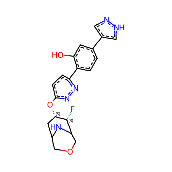 Oc1cc(-c2cn[nH]c2)ccc1-c1ccc(O[C@H]2CC3COCC(N3)[C@H]2F)nn1